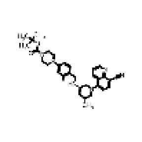 C[C@H]1C[C@@H](NCc2ccc(N3CCN(C(=O)OC(C)(C)C)CC3)cc2F)CN(c2ccc(C#N)c3ncccc23)C1